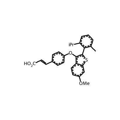 COc1ccc2c(Oc3ccc(C=CC(=O)O)cc3)c(-c3c(C)cccc3C(C)C)sc2c1